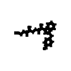 O=C(CCNC(=O)c1nn(Cc2ccc(Cl)cc2)c2ccccc12)NCCO